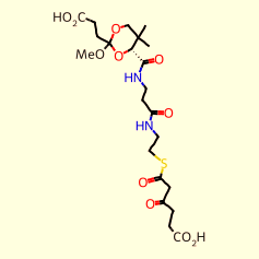 COC1(CCC(=O)O)OCC(C)(C)[C@H](C(=O)NCCC(=O)NCCSC(=O)CC(=O)CCC(=O)O)O1